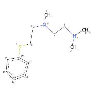 CN(C)CCN(C)CCSc1ccccc1